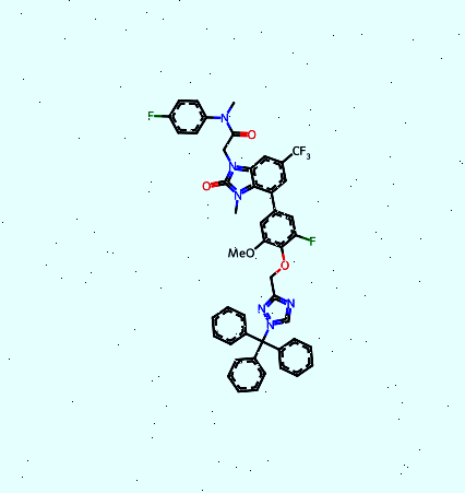 COc1cc(-c2cc(C(F)(F)F)cc3c2n(C)c(=O)n3CC(=O)N(C)c2ccc(F)cc2)cc(F)c1OCc1ncn(C(c2ccccc2)(c2ccccc2)c2ccccc2)n1